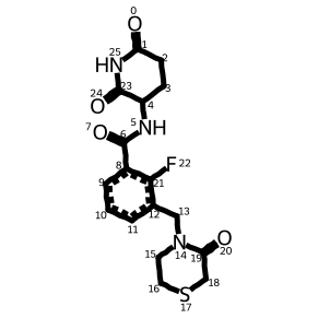 O=C1CCC(NC(=O)c2cccc(CN3CCSCC3=O)c2F)C(=O)N1